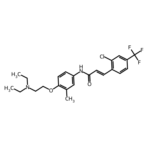 CCN(CC)CCOc1ccc(NC(=O)/C=C/c2ccc(C(F)(F)F)cc2Cl)cc1C